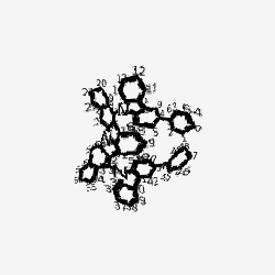 c1ccc(-c2ccc3c(c2)c2ccccc2n3-c2c3ccccc3cc3c2c2cccc4c5c(-n6c7ccccc7c7cc(-c8ccccc8)ccc76)c6ccccc6cc5n3c24)cc1